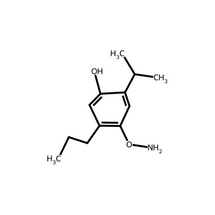 CCCc1cc(O)c(C(C)C)cc1ON